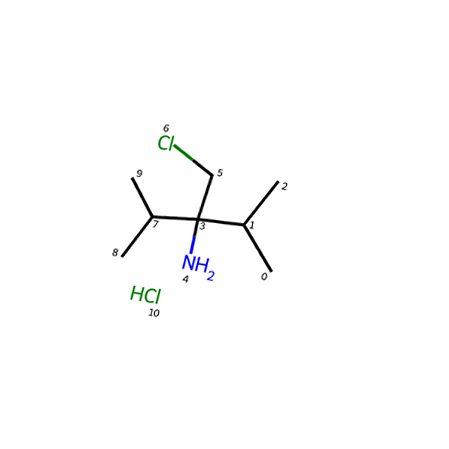 CC(C)C(N)(CCl)C(C)C.Cl